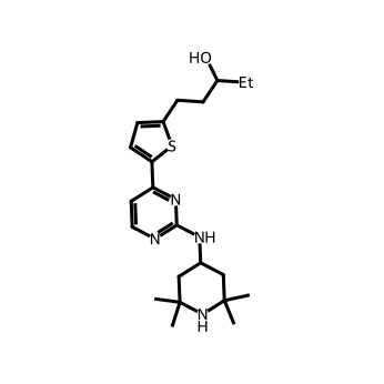 CCC(O)CCc1ccc(-c2ccnc(NC3CC(C)(C)NC(C)(C)C3)n2)s1